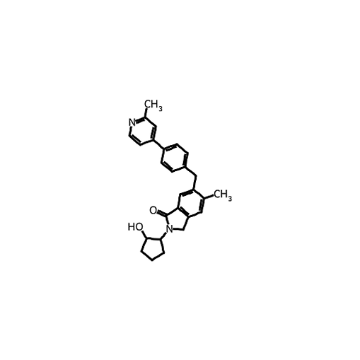 Cc1cc(-c2ccc(Cc3cc4c(cc3C)CN(C3CCCC3O)C4=O)cc2)ccn1